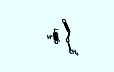 COC=O.[C-]#[O+].[H+]